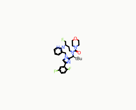 CC(C)(C)[C@@H](c1nc(-c2cc(F)ccc2F)cn1Cc1ccccc1)N(CC[C@H](N)CF)C(=O)N1CCOCC1